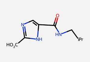 CC(C)CNC(=O)c1cnc(C(=O)O)[nH]1